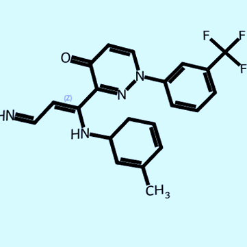 CC1=CC(N/C(=C\C=N)c2nn(-c3cccc(C(F)(F)F)c3)ccc2=O)CC=C1